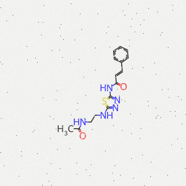 CC(=O)NCCNc1nnc(NC(=O)C=Cc2ccccc2)s1